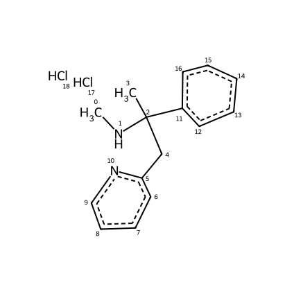 CNC(C)(Cc1ccccn1)c1ccccc1.Cl.Cl